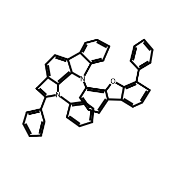 c1ccc(-c2cccc3c2oc2c(-n4c5ccccc5c5ccc6cc(-c7ccccc7)n(-c7ccccc7)c6c54)cccc23)cc1